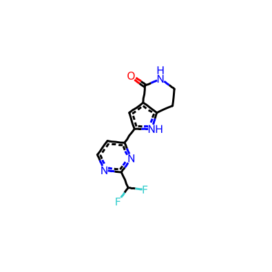 O=C1NCCc2[nH]c(-c3ccnc(C(F)F)n3)cc21